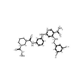 CC(C)(C)OC(=O)N1CCCC(C(=O)Nc2cccc(Nc3cc(NCc4cc(F)cc(F)c4)c(C(N)=O)cn3)c2)C1